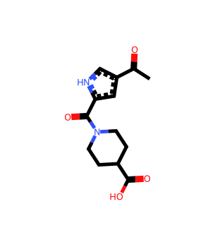 CC(=O)c1c[nH]c(C(=O)N2CCC(C(=O)O)CC2)c1